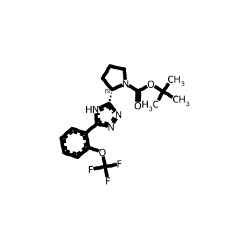 CC(C)(C)OC(=O)N1CCC[C@H]1c1nnc(-c2ccccc2OC(F)(F)F)[nH]1